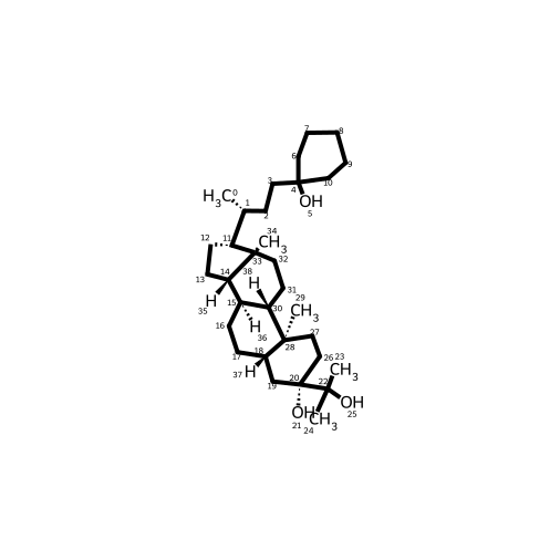 C[C@H](CCC1(O)CCCCC1)[C@H]1CC[C@H]2[C@@H]3CC[C@H]4C[C@](O)(C(C)(C)O)CC[C@]4(C)[C@H]3CC[C@]12C